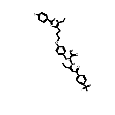 CCC(=CC(=O)c1ccc(C(F)(F)F)cc1)N[C@@H](Cc1ccc(OCCCc2nc(-c3ccc(F)cc3)oc2CC)cc1)C(=O)O